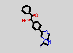 O=C(c1ccccc1)C(O)c1ccc(-c2cn3c(I)cnc3cn2)cc1